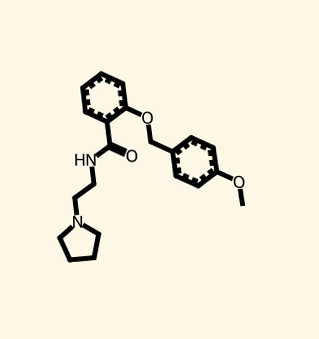 COc1ccc(COc2ccccc2C(=O)NCCN2CCCC2)cc1